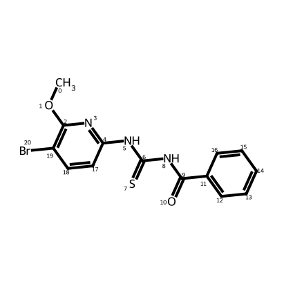 COc1nc(NC(=S)NC(=O)c2ccccc2)ccc1Br